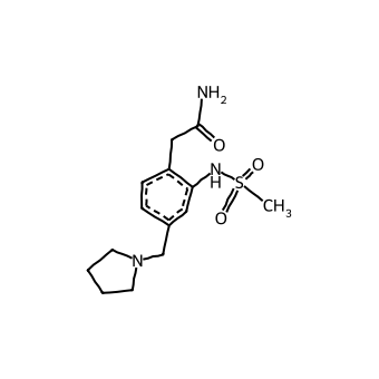 CS(=O)(=O)Nc1cc(CN2CCCC2)ccc1CC(N)=O